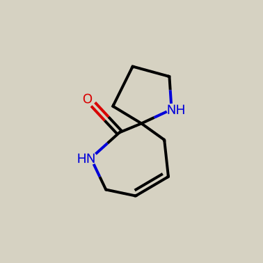 O=C1NCC=CCC12CCCN2